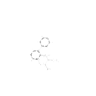 CC(C)CC(C)Nc1c(N)cccc1-c1ccccc1